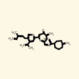 C=C/C(C)=C\Cc1cnc(C2=CC(=O)C(=C)CC(/C=N\C(=C/C)C3CCCC(=C)CC3)=N2)cc1C(=C)C